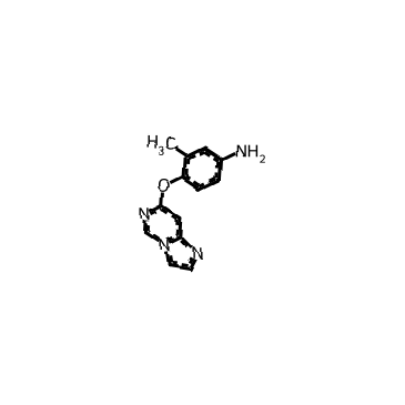 Cc1cc(N)ccc1Oc1cc2nccn2cn1